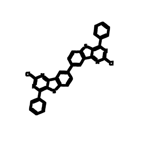 Clc1nc(-c2ccccc2)c2sc3ccc(-c4ccc5sc6c(-c7ccccc7)nc(Cl)nc6c5c4)cc3c2n1